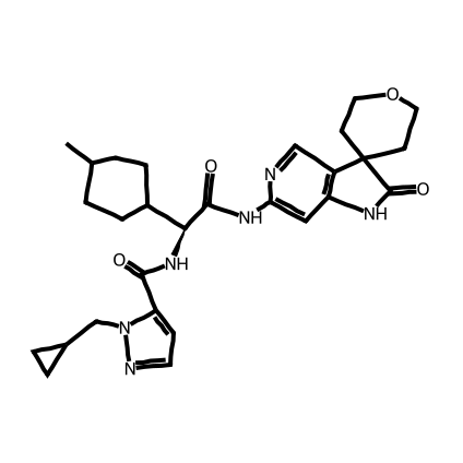 CC1CCC([C@H](NC(=O)c2ccnn2CC2CC2)C(=O)Nc2cc3c(cn2)C2(CCOCC2)C(=O)N3)CC1